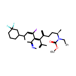 C=C(C)/C(C(=C)CC[C@@H](C)N(CC(C)C)C(=O)OC(C)(C)C)=C(C(\C)=N/C)/C(I)=C\C(C)C1CCCC(F)(F)C1